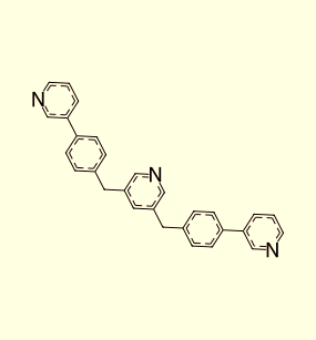 c1cncc(-c2ccc(Cc3cncc(Cc4ccc(-c5cccnc5)cc4)c3)cc2)c1